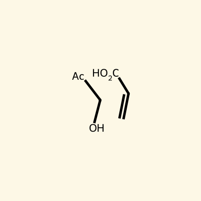 C=CC(=O)O.CC(=O)CO